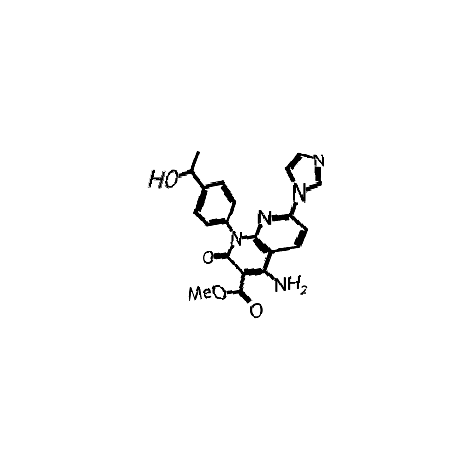 COC(=O)c1c(N)c2ccc(-n3ccnc3)nc2n(-c2ccc(C(C)O)cc2)c1=O